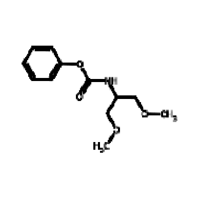 COCC(COC)NC(=O)Oc1ccccc1